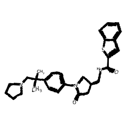 CC(C)(CN1CCCC1)c1ccc(N2CC(CNC(=O)c3cc4ccccc4s3)CC2=O)cc1